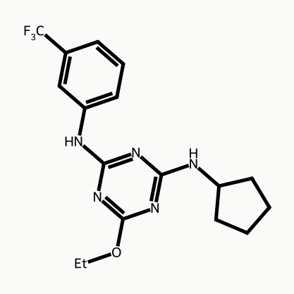 CCOc1nc(Nc2cccc(C(F)(F)F)c2)nc(NC2CCCC2)n1